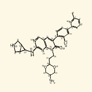 Cc1cncc(-c2ccc(-c3cc4cnc(NC5C6CNCC65)nc4n(CCC4OCC(N)CO4)c3=O)c(Cl)c2)n1